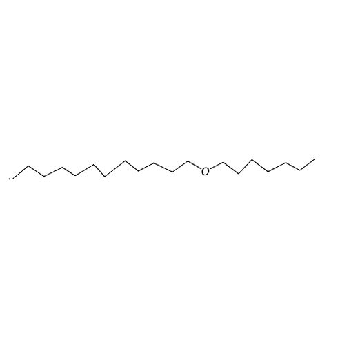 [CH2]CCCCCCCCCCCOCCCCCCC